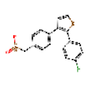 O=[SH](=O)Cc1ccc(-c2ccsc2-c2ccc(F)cc2)cc1